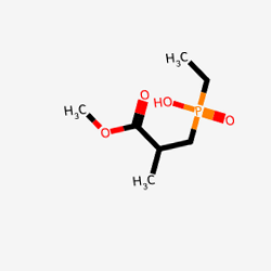 CCP(=O)(O)CC(C)C(=O)OC